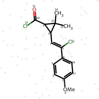 COc1ccc(/C(Cl)=C/C2C(C(=O)Cl)C2(C)C)cc1